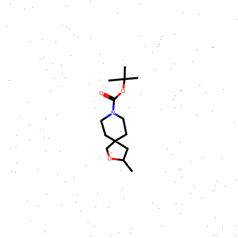 CC1CC2(CCN(C(=O)OC(C)(C)C)CC2)CO1